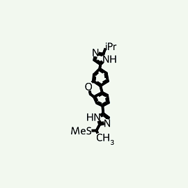 CSC(C)c1ncc(-c2ccc3c(c2)COc2cc(-c4cnc(C(C)C)[nH]4)ccc2-3)[nH]1